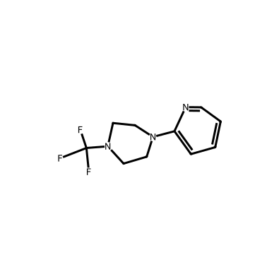 FC(F)(F)N1CCN(c2ccccn2)CC1